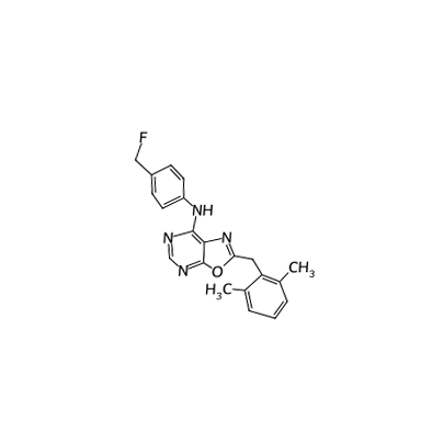 Cc1cccc(C)c1Cc1nc2c(Nc3ccc(CF)cc3)ncnc2o1